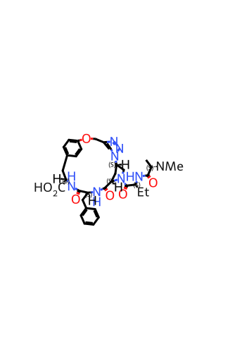 CC[C@H](NC(=O)[C@H](C)NC)C(=O)N1C[C@@H]2C[C@H]1C(=O)N[C@@H](Cc1ccccc1)C(=O)N[C@H](C(=O)O)Cc1ccc(cc1)OCc1cn2nn1